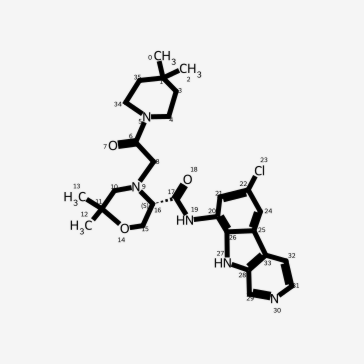 CC1(C)CCN(C(=O)CN2CC(C)(C)OC[C@H]2C(=O)Nc2cc(Cl)cc3c2[nH]c2cnccc23)CC1